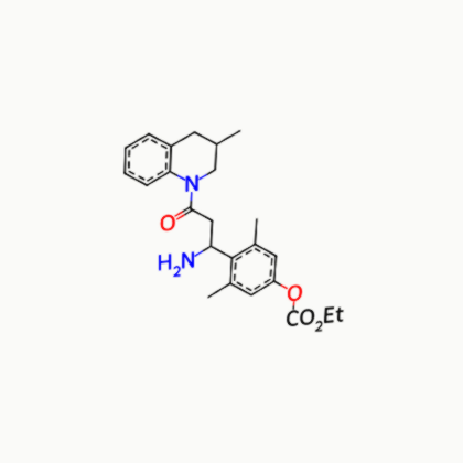 CCOC(=O)Oc1cc(C)c(C(N)CC(=O)N2CC(C)Cc3ccccc32)c(C)c1